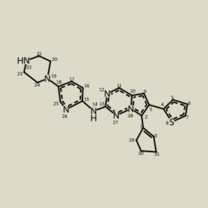 C1=C(c2c(-c3cccs3)cc3cnc(Nc4ccc(N5CCNCC5)cn4)nn23)CCC1